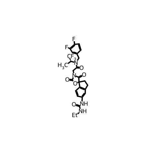 CCNC(=O)Nc1ccc2c(c1)CCC21OC(=O)N(CC(=O)N(Cc2ccc(F)c(F)c2)[C@@H](C)C(F)(F)F)C1=O